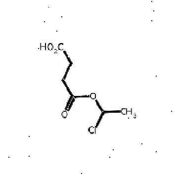 CC(Cl)OC(=O)CCC(=O)O